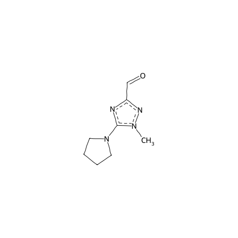 Cn1nc(C=O)nc1N1CCCC1